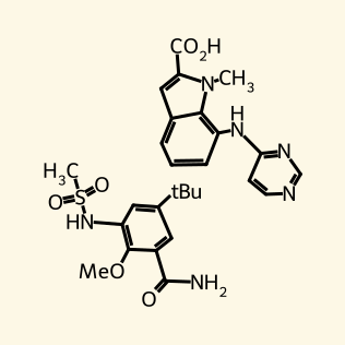 COc1c(NS(C)(=O)=O)cc(C(C)(C)C)cc1C(N)=O.Cn1c(C(=O)O)cc2cccc(Nc3ccncn3)c21